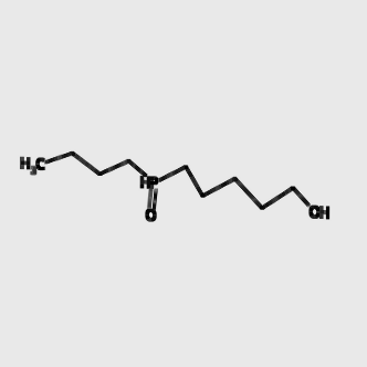 CCCC[PH](=O)CCCCCO